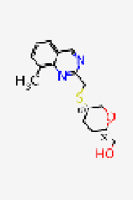 Cc1cccc2cnc(CS[C@H]3CC[C@@H](CO)OC3)nc12